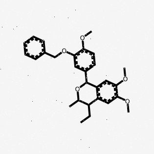 CCC1c2cc(OC)c(OC)cc2C(c2ccc(OC)c(OCc3ccccc3)c2)OC1C